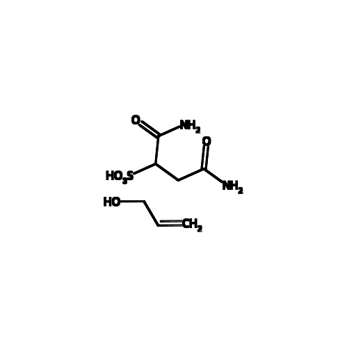 C=CCO.NC(=O)CC(C(N)=O)S(=O)(=O)O